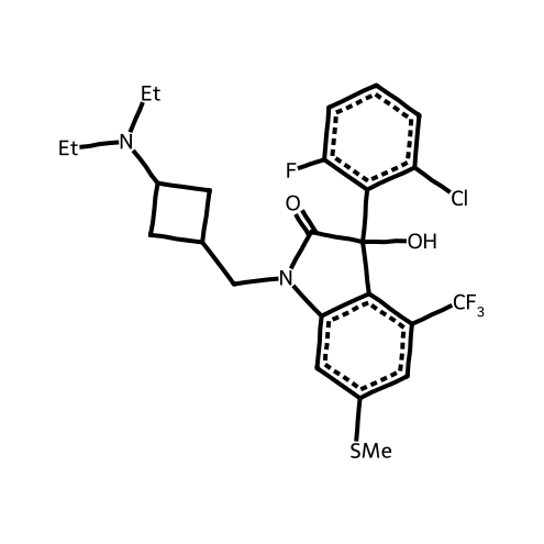 CCN(CC)C1CC(CN2C(=O)C(O)(c3c(F)cccc3Cl)c3c2cc(SC)cc3C(F)(F)F)C1